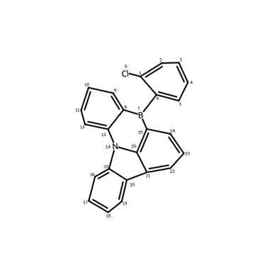 Clc1ccccc1B1c2ccccc2-n2c3ccccc3c3cccc1c32